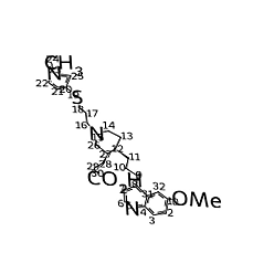 COc1ccc2nccc(CCC[C@@H]3CCN(CCCSc4ccn(C)c4)C[C@@H]3CCC(=O)O)c2c1